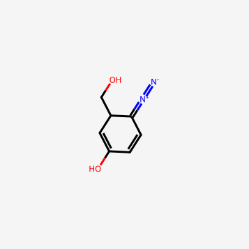 [N-]=[N+]=C1C=CC(O)=CC1CO